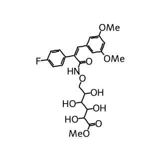 COC(=O)C(O)C(O)C(O)C(O)CONC(=O)/C(=C\c1cc(OC)cc(OC)c1)c1ccc(F)cc1